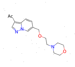 CC(=O)c1cnn2cc(COCCN3CCOCC3)ccc12